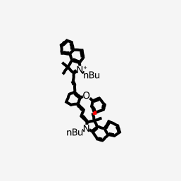 CCCCN1/C(=C/C=C2\CCCC(/C=C/C3=[N+](CCCC)c4ccc5ccccc5c4C3(C)C)=C2Oc2ccccc2)C(C)(C)c2c1ccc1ccccc21